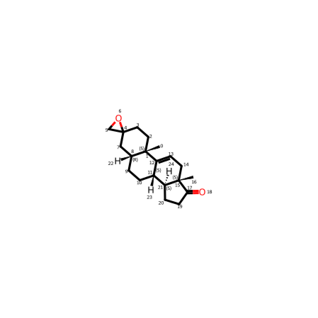 C[C@]12CCC3(CO3)C[C@H]1CC[C@@H]1C2=CC[C@]2(C)C(=O)CC[C@@H]12